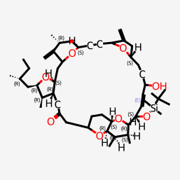 C=C1C[C@@H]2CCC(O)/C=C/[C@H](O[Si](C)(C)C(C)(C)C)[C@@H]3O[C@H]4CCC(CC(=O)C[C@@H]5[C@@H](C)[C@@H](C[C@H](C)CC)O[C@H]5CC5O[C@@H](CCC1O2)C[C@@H](C)C5=C)O[C@@H]4[C@H](C)[C@@H]3C